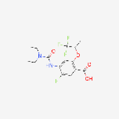 CCN(CC)C(=O)Nc1cc(OC(C)C(F)(F)F)c(C(=O)O)cc1F